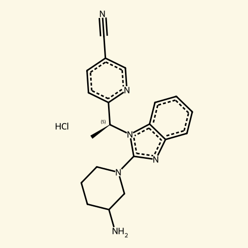 C[C@@H](c1ccc(C#N)cn1)n1c(N2CCCC(N)C2)nc2ccccc21.Cl